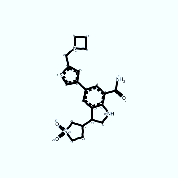 NC(=O)c1cc(-c2csc(CN3CCC3)c2)cc2c1NCC2C1CCS(=O)(=O)C1